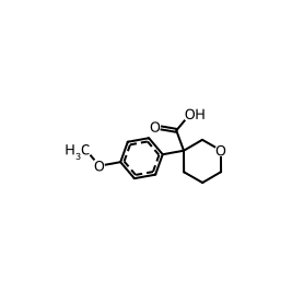 COc1ccc(C2(C(=O)O)CCCOC2)cc1